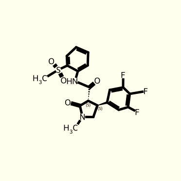 CN1C[C@H](c2cc(F)c(F)c(F)c2)[C@@H](C(=O)Nc2ccccc2S(C)(=O)=O)C1=O